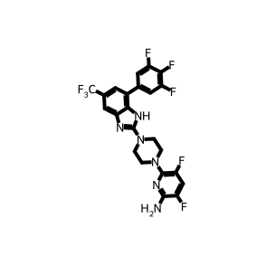 Nc1nc(N2CCN(c3nc4cc(C(F)(F)F)cc(-c5cc(F)c(F)c(F)c5)c4[nH]3)CC2)c(F)cc1F